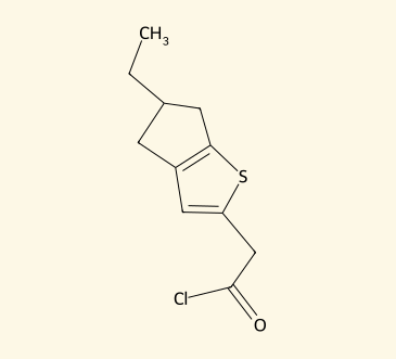 CCC1Cc2cc(CC(=O)Cl)sc2C1